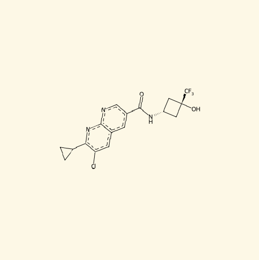 O=C(N[C@H]1C[C@](O)(C(F)(F)F)C1)c1cnc2nc(C3CC3)c(Cl)cc2c1